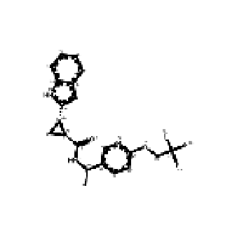 C[C@@H](NC(=O)[C@H]1C[C@@H]1c1cc2ccccc2[nH]1)c1ccc(OCC(F)(F)F)nc1